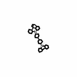 c1ccc2c(c1)N(c1ccc(-c3ccc(-n4c5ccccc5c5ccccc54)cc3)cc1)c1cccc3c1C21CCC3C1